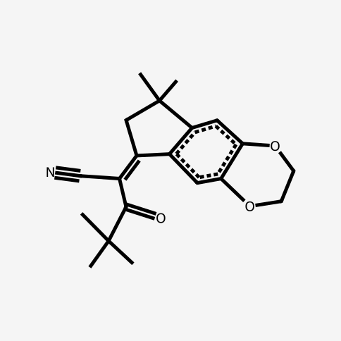 CC(C)(C)C(=O)C(C#N)=C1CC(C)(C)c2cc3c(cc21)OCCO3